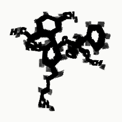 C=C(C)C1CCC(C)=CC1c1c(O)cc(CCCCC)cc1OP(=O)(Cc1ccccc1)OCC